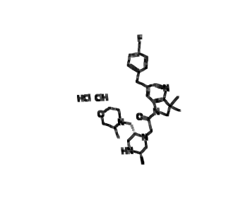 CC1COCCN1C[C@H]1CN[C@H](C)CN1CC(=O)N1CC(C)(C)c2ncc(Cc3ccc(F)cc3)cc21.Cl.Cl